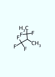 CC(C(C)(F)F)C(F)(F)F